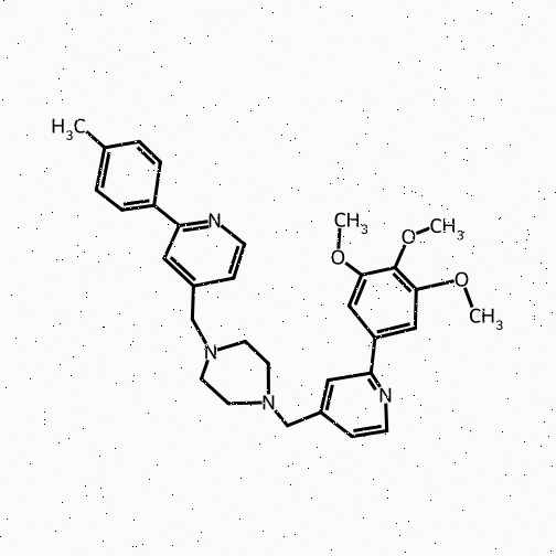 COc1cc(-c2cc(CN3CCN(Cc4ccnc(-c5ccc(C)cc5)c4)CC3)ccn2)cc(OC)c1OC